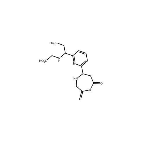 O=C(O)CNC(CC(=O)O)c1cccc(C2CC(=O)OC(=O)CN2)n1